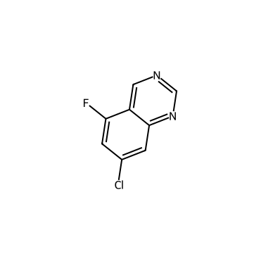 Fc1cc(Cl)cc2ncncc12